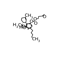 C=C(C)[C@@H]1CCC(C)=C[C@H]1c1c(O)cc(CCCCC)cc1OC(=O)OCCC1CO1